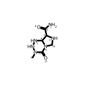 CN1NNC2C(C(N)=O)NCN2C1=O